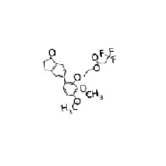 COc1ccc(-c2ccc3c(c2)CCC3=O)c(OCCOC(=O)CC(F)(F)F)c1OC